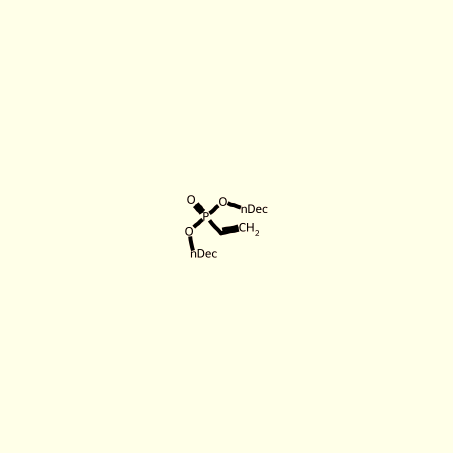 C=CP(=O)(OCCCCCCCCCC)OCCCCCCCCCC